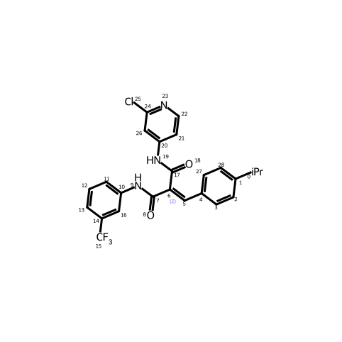 CC(C)c1ccc(/C=C(/C(=O)Nc2cccc(C(F)(F)F)c2)C(=O)Nc2ccnc(Cl)c2)cc1